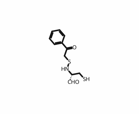 O=C[C@@H](CS)NSCC(=O)c1ccccc1